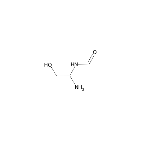 NC(CO)NC=O